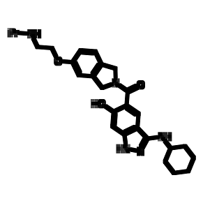 CC(C)NCCOc1ccc2c(c1)CN(C(=O)c1cc3c(NC4CCCCC4)n[nH]c3cc1O)C2